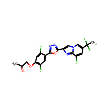 CC(O)COc1cc(Cl)c(-c2nnc(-c3cn4cc(C(C)(F)F)cc(Cl)c4n3)o2)cc1Cl